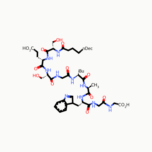 CCCCCCCCCCCCCC(=O)N[C@@H](CO)C(=O)N[C@@H](CCC(=O)O)C(=O)N[C@@H](CO)C(=O)NCC(=O)N[C@H](C(=O)N[C@@H](C)C(=O)N[C@@H](CC1C=Nc2ccccc21)C(=O)NCC(=O)NCC(=O)O)[C@@H](C)CC